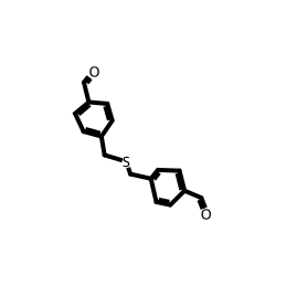 O=Cc1ccc(CSCc2ccc(C=O)cc2)cc1